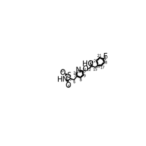 O=C1NC(=O)C(Cc2ccc(OCC(O)Cc3ccc(F)cc3)nc2)S1